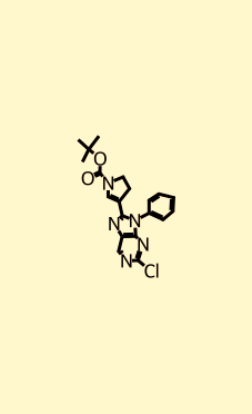 CC(C)(C)OC(=O)N1C=C(c2nc3cnc(Cl)nc3n2-c2ccccc2)CC1